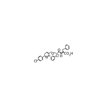 CN1C(c2ccc(Cl)cc2)CC=C(COCCC(=O)N[C@@H](Cc2ccccc2)C(=O)O)[C@@H]1c1cccc(Cl)c1